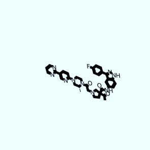 CC(=O)C1(C(=O)Nc2ccc3[nH]nc(-c4ccc(F)cc4)c3c2)CCN(CC(=O)N2CCN(c3ccc(-c4ncccn4)cn3)C[C@H]2C)C1